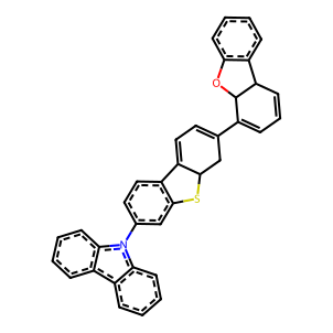 C1=CC2c3ccccc3OC2C(C2=CC=C3c4ccc(-n5c6ccccc6c6ccccc65)cc4SC3C2)=C1